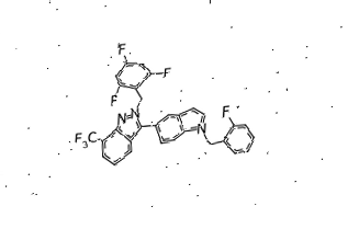 Fc1cc(F)c(Cn2nc3c(C(F)(F)F)cccc3c2-c2ccc3c(ccn3Cc3ccccc3F)c2)c(F)c1